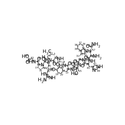 CC(C)C[C@H](NC(=O)CNC(=O)[C@H](Cc1ccc(O)cc1)NC(=O)[C@H](CO)NC(=O)[C@H](Cc1c[nH]c2ccccc12)NC(=O)[C@H](Cc1c[nH]cn1)NC(=O)[C@@H](N)CCC(N)=O)C(=O)N[C@@H](CCCNC(=N)N)C(=O)N1CCC[C@H]1C(=O)NCC(=O)O